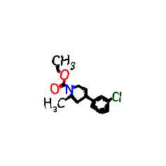 CCOC(=O)N1CCC(c2cccc(Cl)c2)CC1C